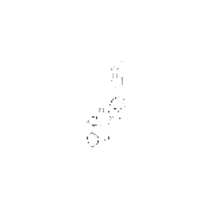 CN(c1nc(-c2ccc(F)cc2)cs1)c1c(CCC#N)nc2ccc(C3CCN(S(C)(=O)=O)CC3)cn12